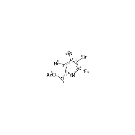 CCc1c(Br)c(F)nc(OOC(C)=O)c1Br